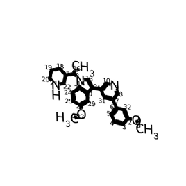 COc1cccc(-c2cncc(-c3cn(C(C)C4CCCNC4)c4ccc(OC)cc34)c2)c1